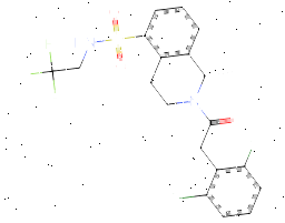 C[C@H]1c2cccc(S(=O)(=O)NCC(F)(F)F)c2CCN1C(=O)Cc1c(Cl)cccc1Cl